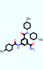 CC(C)(C)C1CCC(C(=O)Nc2cc(C(N)=O)cc(C(=O)N([C@H]3CC[C@@H](C(C)(C)C)CC3)[C@H]3CC[C@@H](C(C)(C)C)CC3)c2)CC1